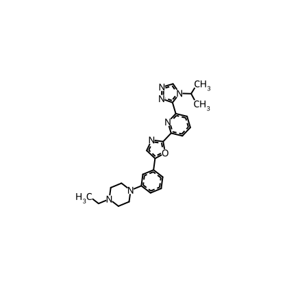 CCN1CCN(c2cccc(-c3cnc(-c4cccc(-c5nncn5C(C)C)n4)o3)c2)CC1